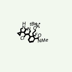 CNC(=O)C1C=CC=C(c2cnc3c(c2Cl)C2(CC2)CN3)C1(F)CCO[Si](C)(C)C(C)(C)C